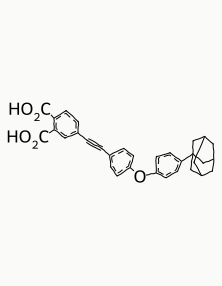 O=C(O)c1ccc(C#Cc2ccc(Oc3ccc(C45CC6CC(CC(C6)C4)C5)cc3)cc2)cc1C(=O)O